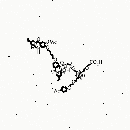 C/C=C1/C[C@H]2CNc3cc(OCCCCCOc4ccc5c(c4)N(C(=O)OC[C@@H](C)SSCCN(C)P(=O)(N(C)CCOCCOc4ccc(C(C)=O)cc4)N(C)CCOCCC(=O)O)[C@@H](O)[C@@H]4C/C(=C/C)CN4C5=O)c(OC)cc3C(=O)N2C1